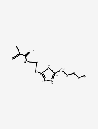 C=C(C)C(=O)OCSc1nnc(SCCCC)s1